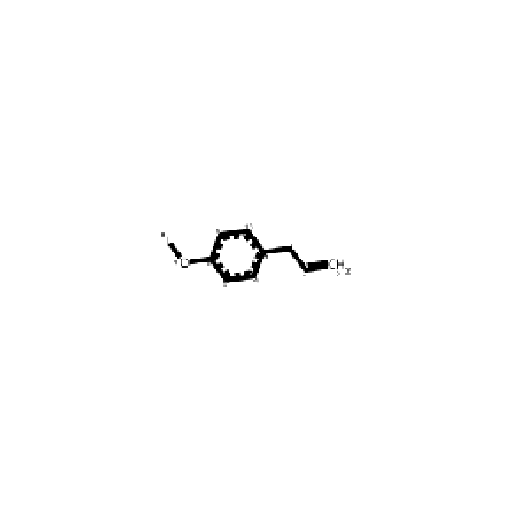 C=CCc1ccc(OI)cc1